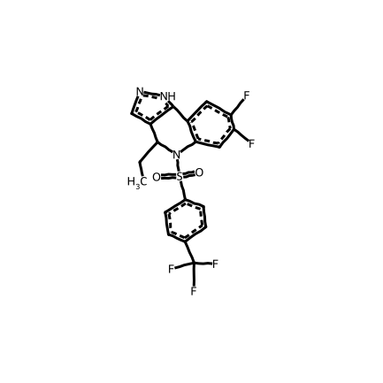 CCC1c2cn[nH]c2-c2cc(F)c(F)cc2N1S(=O)(=O)c1ccc(C(F)(F)F)cc1